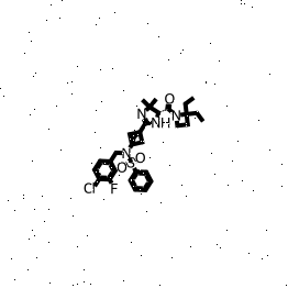 CCC1(CC)CCN1C(=O)[C@@H]1NC(C23CC(N(Cc4ccc(Cl)c(F)c4)S(=O)(=O)c4ccccc4)(C2)C3)=NC1(C)C